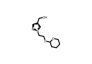 OCc1cnn(CCOC2CCCCO2)c1